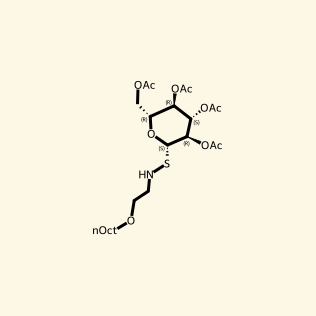 CCCCCCCCOCCNS[C@@H]1O[C@H](COC(C)=O)[C@@H](OC(C)=O)[C@H](OC(C)=O)[C@H]1OC(C)=O